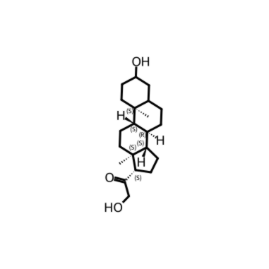 C[C@]12CC[C@H]3[C@@H](CCC4CC(O)CC[C@@]43C)[C@@H]1CC[C@@H]2C(=O)CO